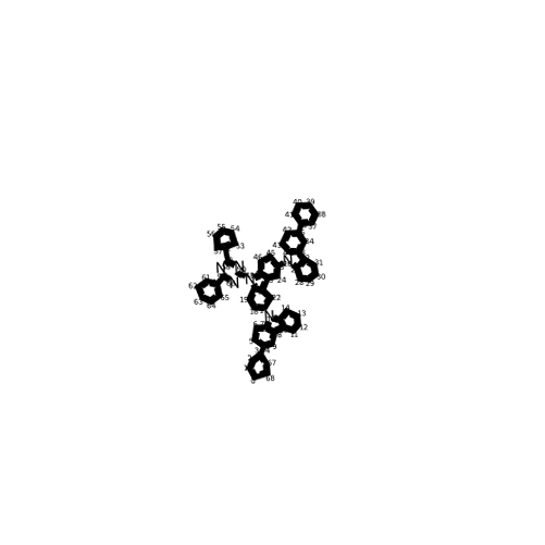 c1ccc(-c2ccc3c(c2)c2ccccc2n3-c2ccc3c(c2)c2cc(-n4c5ccccc5c5cc(-c6ccccc6)ccc54)ccc2n3-c2nc(-c3ccccc3)nc(-c3ccccc3)n2)cc1